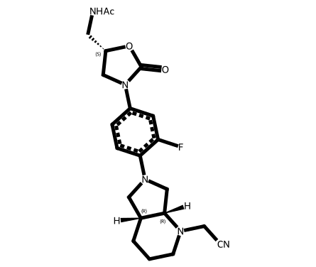 CC(=O)NC[C@H]1CN(c2ccc(N3C[C@H]4CCCN(CC#N)[C@H]4C3)c(F)c2)C(=O)O1